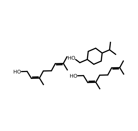 CC(C)=CCC/C(C)=C\CO.CC(C)=CCC/C(C)=C\CO.CC(C)C1CCC(CO)CC1